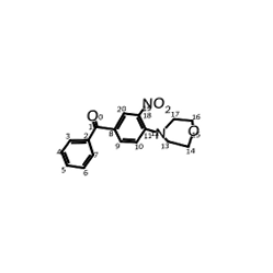 O=C(c1ccccc1)c1ccc(N2CCOCC2)c([N+](=O)[O-])c1